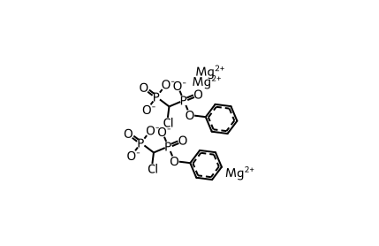 O=P([O-])([O-])C(Cl)P(=O)([O-])Oc1ccccc1.O=P([O-])([O-])C(Cl)P(=O)([O-])Oc1ccccc1.[Mg+2].[Mg+2].[Mg+2]